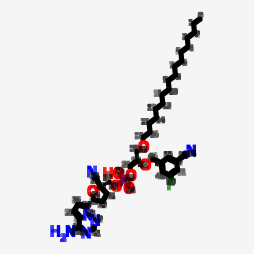 CCCCCCCCCCCCCCCCCCOC[C@H](COP(=O)(O)OC[C@]1(C#N)CC[C@H](c2ccc3c(N)ncnn23)O1)OCc1cc(F)cc(C#N)c1